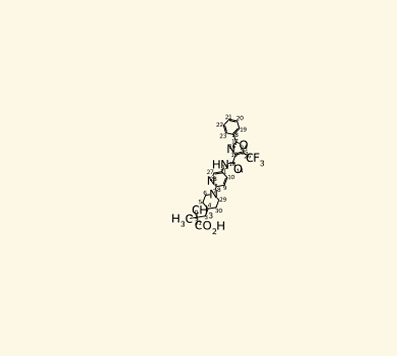 CC(C)(CC1CCN(c2ccc(NC(=O)c3nc(-c4ccccc4)oc3C(F)(F)F)cn2)CC1)C(=O)O